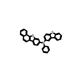 c1ccc(N(c2ccc3c(c2)sc2c4ccccc4ccc32)c2ccc3sc4ccccc4c3c2)cc1